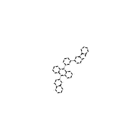 c1cc(-c2ccc3sc4ccccc4c3c2)cc(-c2c3ccccc3c(-c3ccc4ccccc4c3)c3ccccc23)c1